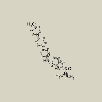 CN1CCN(C2CCN(c3ccc(Nc4cc5[nH]c(C(=O)N(C)C)cc5cn4)nc3)CC2)CC1